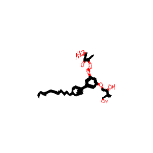 C=C(OOc1cc(OCC(O)C(=C)CO)cc(-c2ccc(CCCCCCCCC)cc2)c1)C(=O)CO